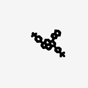 C[Si](C)(C)c1ccc(-c2ccc3ccc4c(-c5ccc([Si](C)(C)C)cc5)cc(-c5ccc6ccccc6c5)c5ccc2c3c45)cc1